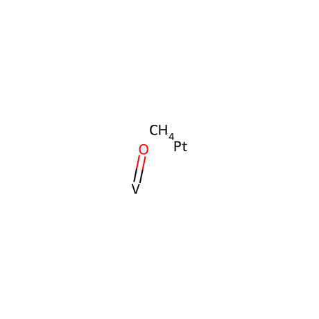 C.[O]=[V].[Pt]